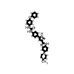 CN1CCN(c2ccc3[nH]c(-c4cc(-c5ccc(NC(=O)Nc6ccc(Oc7ccccc7)cc6)cc5)[nH]n4)nc3c2)CC1